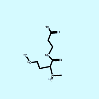 CN([13CH3])C(CC[13CH2][13CH3])C(=O)NCCC(=O)O